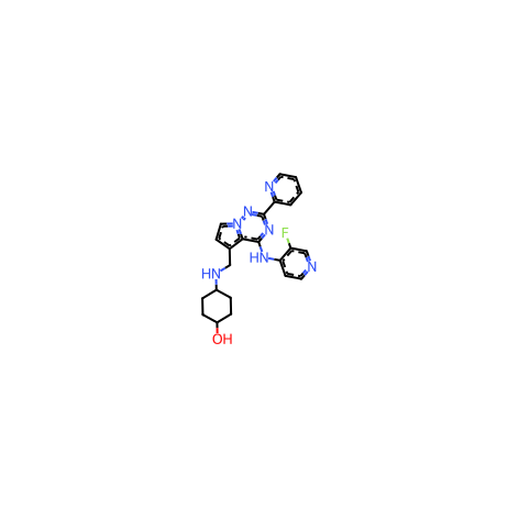 OC1CCC(NCc2ccn3nc(-c4ccccn4)nc(Nc4ccncc4F)c23)CC1